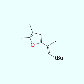 C/C(=C\C(C)(C)C)c1cc(C)c(C)o1